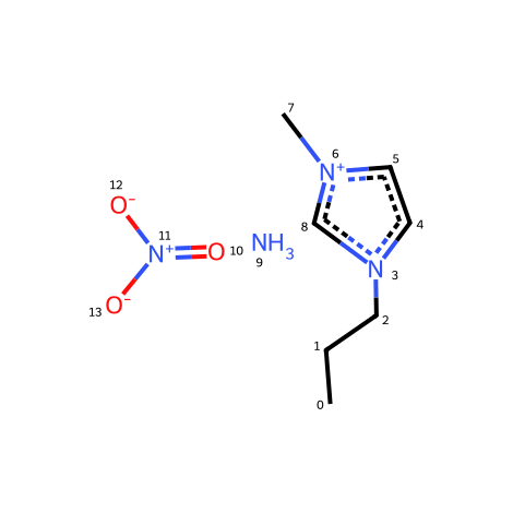 CCCn1cc[n+](C)c1.N.O=[N+]([O-])[O-]